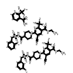 CCOC(=O)c1cc(C#N)c(N2CCC(C(=O)NS(=O)(=O)Cc3cccc(F)c3)CC2)nc1C(F)(F)F.CCOC(=O)c1cc(C#N)c(N2CCC(C(=O)NS(=O)(=O)Cc3ccccc3F)CC2)nc1C(F)(F)F.O=C(O)c1cccnc1C(F)(F)F